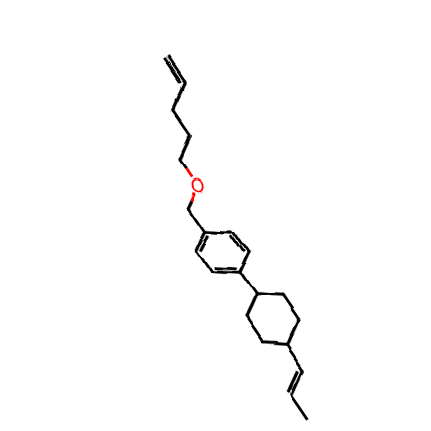 C=CCCCOCc1ccc(C2CCC(C=CC)CC2)cc1